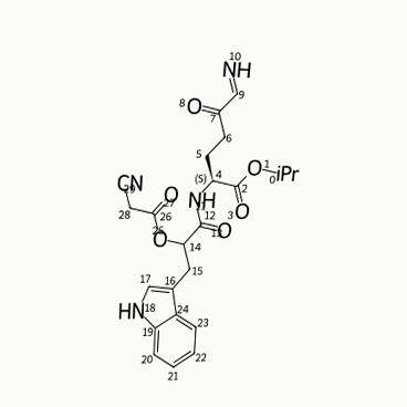 CC(C)OC(=O)[C@H](CCC(=O)C=N)NC(=O)C(Cc1c[nH]c2ccccc12)OC(=O)CC#N